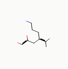 CC(C(=O)O)=C(CCCN)CC(O)=CO